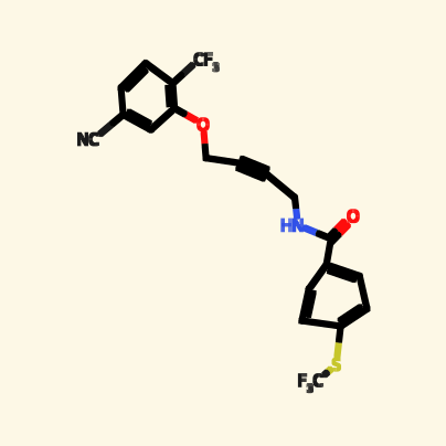 N#Cc1ccc(C(F)(F)F)c(OCC#CCNC(=O)c2ccc(SC(F)(F)F)cc2)c1